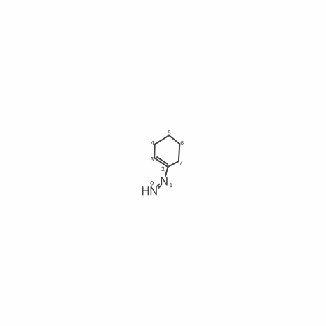 N=NC1=CCCCC1